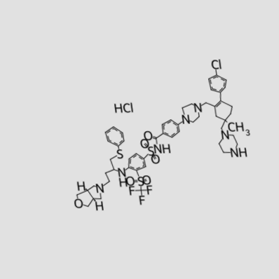 CC1(CN2CCNCC2)CCC(c2ccc(Cl)cc2)=C(CN2CCN(c3ccc(C(=O)NS(=O)(=O)c4ccc(NC(CCN5C[C@H]6COC[C@H]6C5)CSc5ccccc5)c(S(=O)(=O)C(F)(F)F)c4)cc3)CC2)C1.Cl